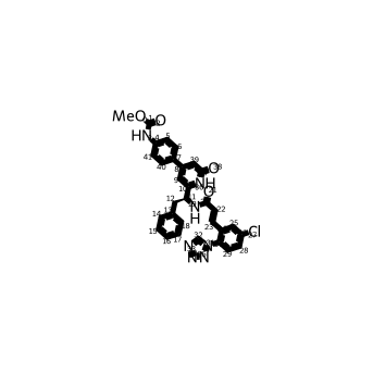 COC(=O)Nc1ccc(-c2cc([C@H](Cc3ccccc3)NC(=O)/C=C/c3cc(Cl)ccc3-n3cnnn3)[nH]c(=O)c2)cc1